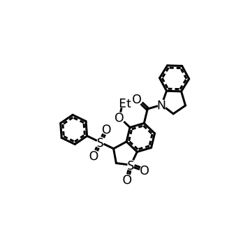 CCOc1c(C(=O)N2CCc3ccccc32)ccc2c1C(S(=O)(=O)c1ccccc1)CS2(=O)=O